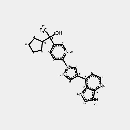 OC(c1ccc(-n2cc(-c3ccnc4[nH]cnc34)cn2)nc1)(C1CCCC1)C(F)(F)F